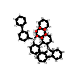 c1ccc(-c2cccc(N(c3ccc4ccccc4c3)c3ccccc3-c3c(-n4c5ccccc5c5ccccc54)ccc4ccccc34)c2)cc1